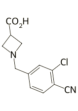 N#Cc1ccc(CN2CC(C(=O)O)C2)cc1Cl